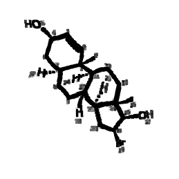 C[C@]12C=C[C@H](O)C[C@@H]1CC[C@@H]1[C@@H]2CC[C@]2(C)[C@@H](O)[C@@H](Br)C[C@@H]12